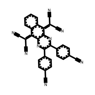 N#CC(C#N)=c1c2ccccc2c(=C(C#N)C#N)c2nc(-c3ccc(C#N)cc3)c(-c3ccc(C#N)cc3)nc12